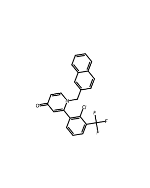 O=c1ccn(Cc2ccc3ccccc3c2)c(-c2cccc(C(F)(F)F)c2Cl)c1